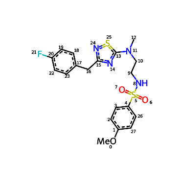 COc1ccc(S(=O)(=O)NCCN(C)c2nc(Cc3ccc(F)cc3)ns2)cc1